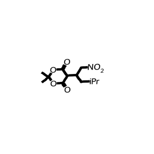 CC(C)CC(C[N+](=O)[O-])C1C(=O)OC(C)(C)OC1=O